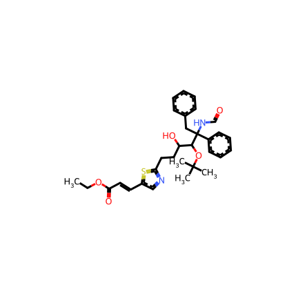 CCOC(=O)C=Cc1cnc(CCC(O)C(OC(C)(C)C)C(Cc2ccccc2)(NC=O)c2ccccc2)s1